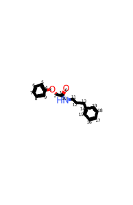 O=C(COc1ccccc1)NCCCc1ccccc1